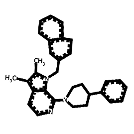 Cc1c(C)n(Cc2ccc3ccccc3c2)c2c(N3CCC(c4ccccc4)CC3)nccc12